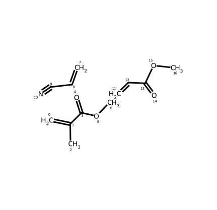 C=C(C)C(=O)OC.C=CC#N.C=CC(=O)OC